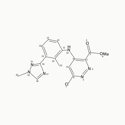 COC(=O)c1nnc(Cl)cc1Nc1cccc(-c2ncn(C)n2)c1C